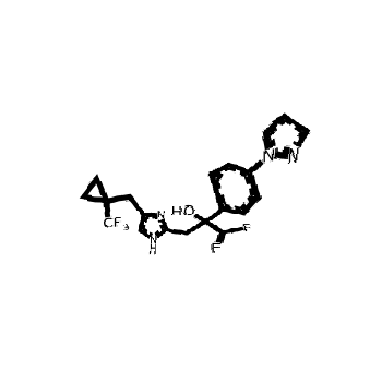 OC(Cc1nc(CC2(C(F)(F)F)CC2)c[nH]1)(c1ccc(-n2cccn2)cc1)C(F)F